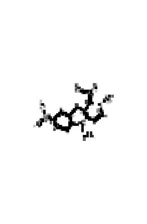 COc1ccc([N+](=O)[O-])cc1CC1=CC=C[NH+]([O-])C1=S(=O)=O